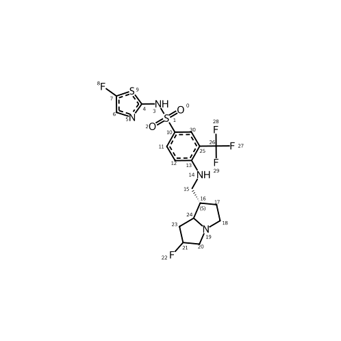 O=S(=O)(Nc1ncc(F)s1)c1ccc(NC[C@@H]2CCN3CC(F)CC23)c(C(F)(F)F)c1